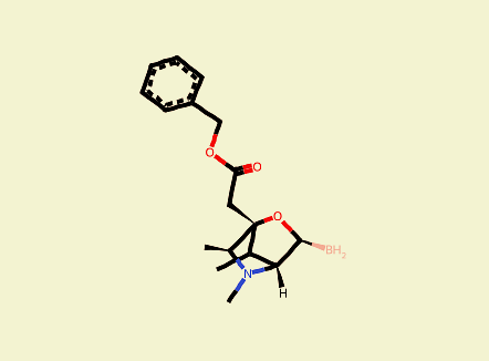 B[C@@H]1O[C@]2(CC(=O)OCc3ccccc3)C(C)[C@H]1N(C)[C@H]2C